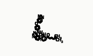 CN(C)C/C=C/C(=O)N1CCN2C[C@@H]1COc1c2ccc2ncnc(Nc3ccc(Oc4ccn5ncnc5c4)cc3)c12